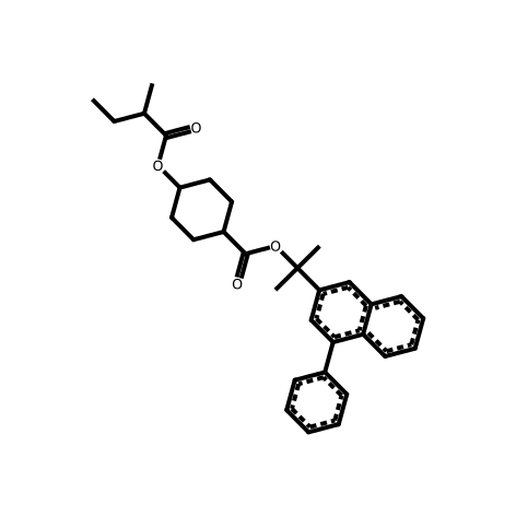 CCC(C)C(=O)OC1CCC(C(=O)OC(C)(C)c2cc(-c3ccccc3)c3ccccc3c2)CC1